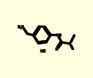 CN(C)C(=O)Nc1ccc(CN)cc1.Cl